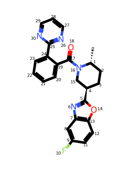 C[C@@H]1CC[C@@H](c2nc3cc(F)ccc3o2)CN1C(=O)c1ccccc1-c1ncccn1